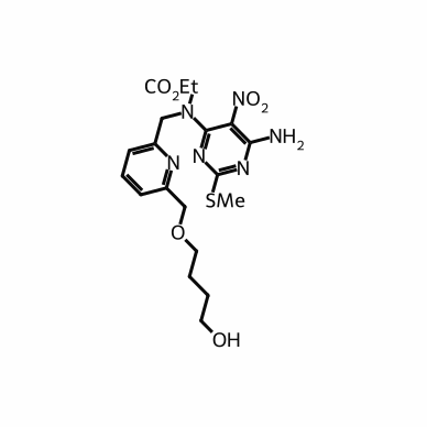 CCOC(=O)N(Cc1cccc(COCCCCO)n1)c1nc(SC)nc(N)c1[N+](=O)[O-]